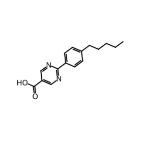 CCCCCc1ccc(-c2ncc(C(=O)O)cn2)cc1